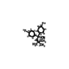 C[Si](C)(C)OC(C#N)(c1ccc(F)cc1)c1ccc(F)cc1